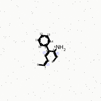 C\C=C/C=C(\C(N)=C/C)c1ccccc1